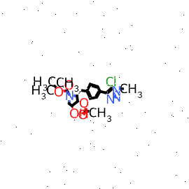 CC(=O)O[C@H]1[C@@H](Cc2ccc(-c3nnn(C)c3Cl)cc2)N(C(=O)OC(C)(C)C)C[C@@H]1O